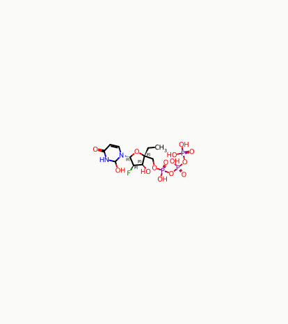 CC[C@]1(COP(=O)(O)OP(=O)(O)OP(=O)(O)O)O[C@@H](N2C=CC(=O)NC2O)[C@H](F)[C@@H]1O